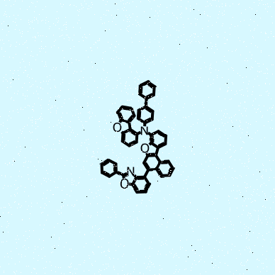 c1ccc(-c2ccc(N(c3cccc4c3oc3cc(-c5cccc6oc(-c7ccccc7)nc56)c5ccccc5c34)c3cccc4oc5ccccc5c34)cc2)cc1